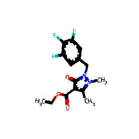 CCOC(=O)c1c(C)n(C)n(Cc2cc(F)c(F)c(F)c2)c1=O